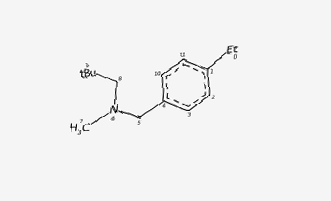 CCc1ccc(CN(C)CC(C)(C)C)cc1